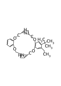 CCc1cc2c(cc1C(C)(C)C)OCc1ccc([nH]1)COc1ccccc1OCc1ccc([nH]1)CO2